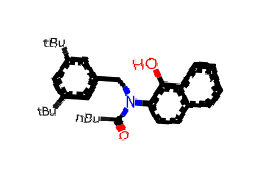 CCCCC(=O)N(Cc1cc(C(C)(C)C)cc(C(C)(C)C)c1)c1ccc2ccccc2c1O